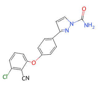 N#Cc1c(Cl)cccc1Oc1ccc(-c2ccn(C(N)=O)n2)cc1